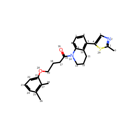 Cc1ncc(-c2cccc3c2CCCN3C(=O)CCCOc2cccc(C)c2C)s1